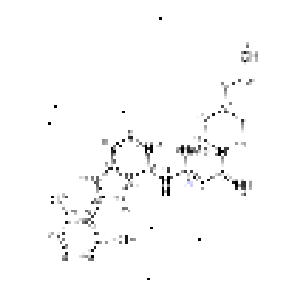 CN/C(=C\C(=N)N1CCN(CCO)CC1)Nc1nccc2nc(-c3c(Cl)cccc3Cl)sc12